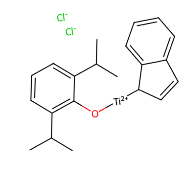 CC(C)c1cccc(C(C)C)c1[O][Ti+2][CH]1C=Cc2ccccc21.[Cl-].[Cl-]